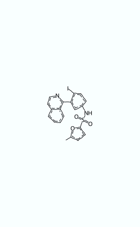 Cc1ccc(S(=O)(=O)Nc2ccc(I)c(-c3nccc4ccccc34)c2)o1